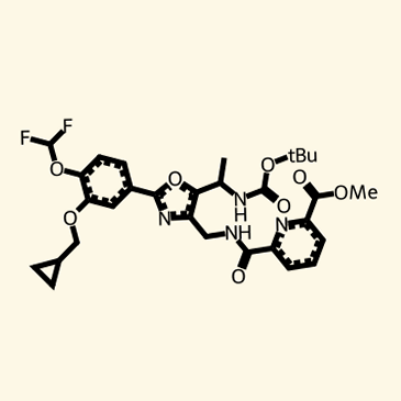 COC(=O)c1cccc(C(=O)NCc2nc(-c3ccc(OC(F)F)c(OCC4CC4)c3)oc2C(C)NC(=O)OC(C)(C)C)n1